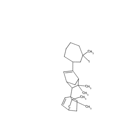 CC1(I)CCCCC(C2=CC3CC2C(C)(C)C3C23C=CC(CC2)CC3(C)C)C1